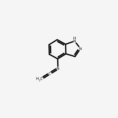 C=C=Nc1cccc2[nH]ncc12